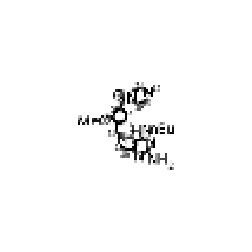 CCCCNc1nc(N)nc2c1CN(Cc1ccc(C(=O)N3CCN(C)CC3)cc1OC)C=C2